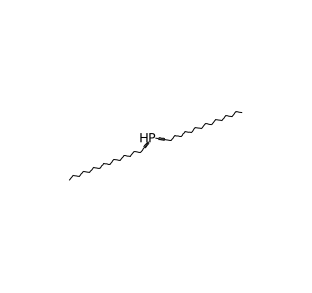 CCCCCCCCCCCCCCCC#CPC#CCCCCCCCCCCCCCCC